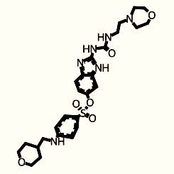 O=C(NCCN1CCOCC1)Nc1nc2ccc(OS(=O)(=O)c3ccc(NCC4CCOCC4)cc3)cc2[nH]1